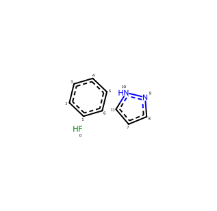 F.c1ccccc1.c1cn[nH]c1